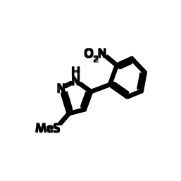 CSc1cc(-c2ccccc2[N+](=O)[O-])[nH]n1